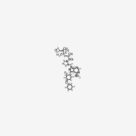 CN(C1COC1)C(C)(C)C=C(C#N)C(=O)N1CCC[C@@H]1Cn1nc(-c2ccc(Oc3ccccc3)cc2F)c2c(N)ncnc21